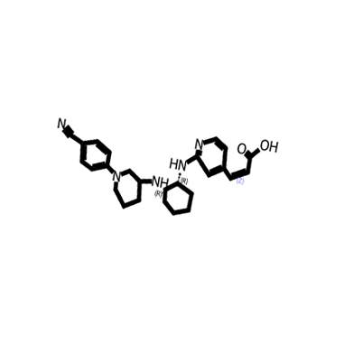 N#Cc1ccc(N2CCCC(N[C@@H]3CCCC[C@H]3Nc3cc(/C=C\C(=O)O)ccn3)C2)cc1